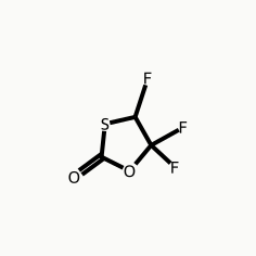 O=C1OC(F)(F)C(F)S1